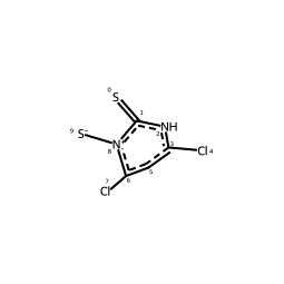 S=c1[nH]c(Cl)cc(Cl)[n+]1[S-]